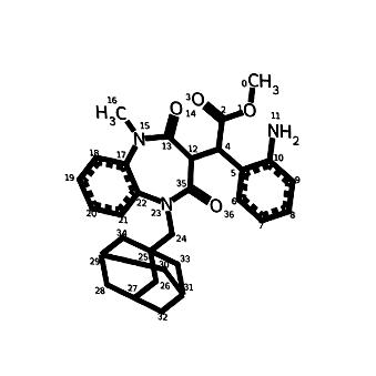 COC(=O)C(c1ccccc1N)C1C(=O)N(C)c2ccccc2N(CC23CC4CC(CC(C4)C2)C3)C1=O